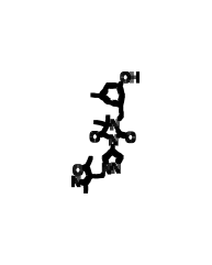 Cc1cc(O)cc(CN2C(=O)N(c3cnn(Cc4c(C)noc4C)c3)C(=O)C2(C)C)c1